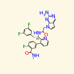 CNC(=O)c1cc(-c2cccnc2[C@H](Cc2cc(F)cc(F)c2)NC(=O)Cn2ccc3cnc(N)nc32)ccc1F